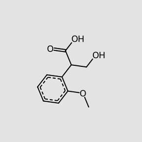 COc1ccccc1C(CO)C(=O)O